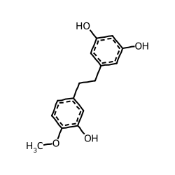 COc1ccc(CCc2cc(O)cc(O)c2)cc1O